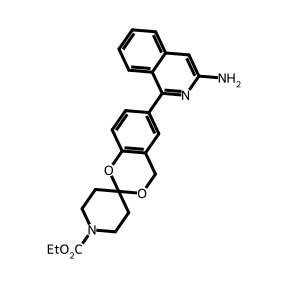 CCOC(=O)N1CCC2(CC1)OCc1cc(-c3nc(N)cc4ccccc34)ccc1O2